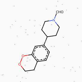 O=CN1CCC(c2ccc3c(c2)OOCC3)CC1